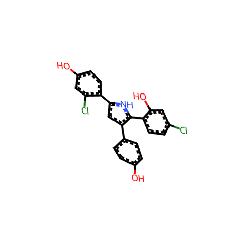 Oc1ccc(-c2cc(-c3ccc(O)cc3Cl)[nH]c2-c2ccc(Cl)cc2O)cc1